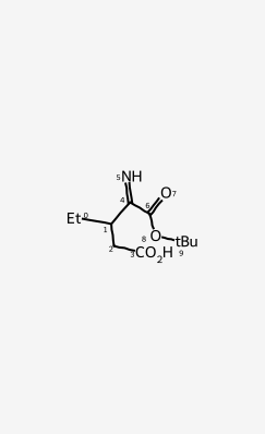 CCC(CC(=O)O)C(=N)C(=O)OC(C)(C)C